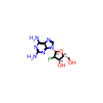 Nc1nc(N)c2ncn([C@@H]3O[C@H](CO)[C@@H](O)C3F)c2n1